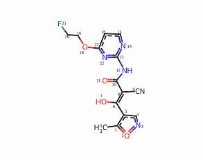 Cc1oncc1/C(O)=C(\C#N)C(=O)Nc1nccc(OCCF)n1